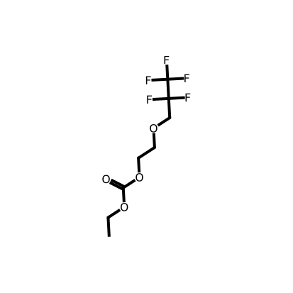 CCOC(=O)OCCOCC(F)(F)C(F)(F)F